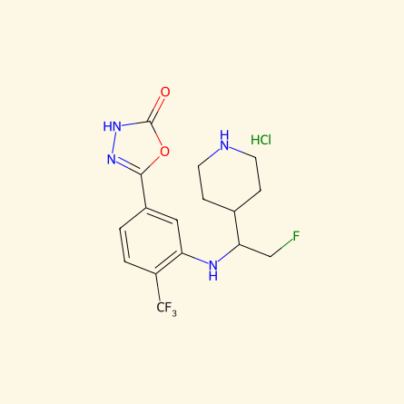 Cl.O=c1[nH]nc(-c2ccc(C(F)(F)F)c(NC(CF)C3CCNCC3)c2)o1